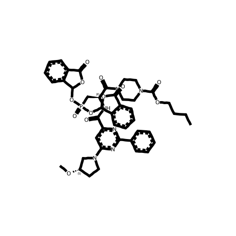 CCCCOC(=O)N1CCN(C(=O)[C@H](CP(=O)(OC2OC(=O)c3ccccc32)OC2OC(=O)c3ccccc32)NC(=O)c2cc(N3CC[C@H](OC)C3)nc(-c3ccccc3)n2)CC1